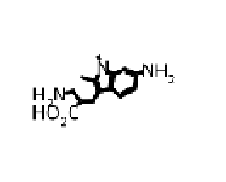 Cc1c(CC(CN)C(=O)O)c2ccc(N)cc2n1C